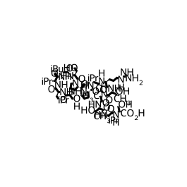 CC[C@H](C)[C@H](NC(=O)[C@@H](NC(=O)[C@H](CC(C)C)NC(=O)[C@@H](N)CO)C(C)C)C(=O)N[C@@H](CO)C(=O)N1CCC[C@H]1C(=O)N1CCC[C@H]1C(=O)N[C@H](C(=O)N[C@@H](CCCNC(=N)N)C(=O)N[C@H](C(=O)N[C@@H](C)C(=O)N[C@H](C(=O)N[C@H](C(=O)N[C@@H](CO)C(=O)O)C(C)C)[C@@H](C)O)[C@@H](C)O)C(C)C